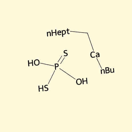 CCCCCCC[CH2][Ca][CH2]CCC.OP(O)(=S)S